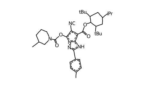 [C-]#[N+]c1c(C(=O)OC2C(C(C)(C)C)CC(C(C)C)CC2C(C)(C)C)c2[nH]c(-c3ccc(C)cc3)nn2c1OC(=O)N1CCCC(C)C1